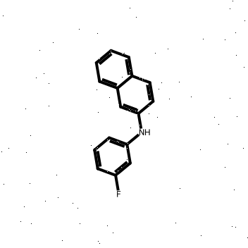 Fc1cccc(Nc2ccc3ccccc3c2)c1